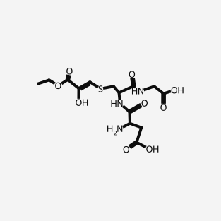 CCOC(=O)C(O)=CSCC(NC(=O)C(N)CC(=O)O)C(=O)NCC(=O)O